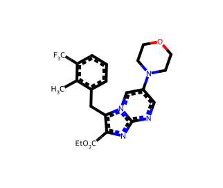 CCOC(=O)c1nc2ncc(N3CCOCC3)cn2c1Cc1cccc(C(F)(F)F)c1C